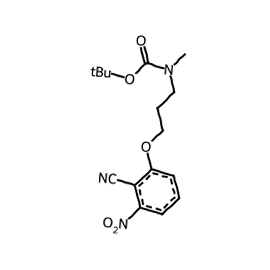 CN(CCCOc1cccc([N+](=O)[O-])c1C#N)C(=O)OC(C)(C)C